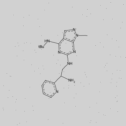 Cn1ncc2c(NC(C)(C)C)nc(NCC(N)c3ccccn3)nc21